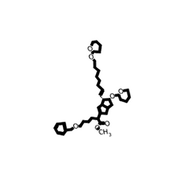 COC(=O)C(CCCCOCc1ccccc1)C1=CC2C(C1)C[C@H](OC1CCCCO1)[C@H]2C=CCCCCCCOC1CCCCO1